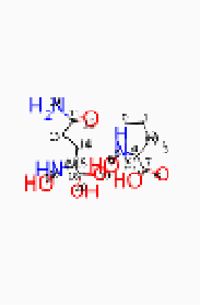 CC[C@H](C)[C@H](NO)C(=O)O.NC(=O)CC[C@H](NO)C(=O)O